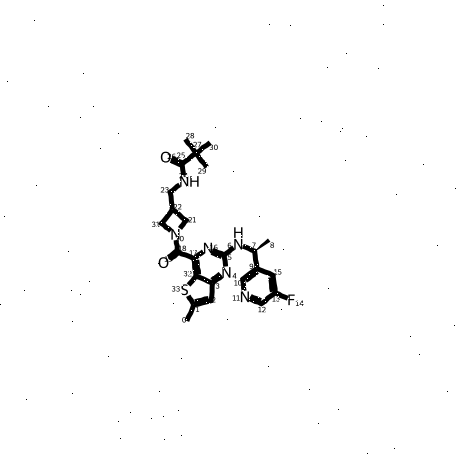 Cc1cc2nc(N[C@@H](C)c3cncc(F)c3)nc(C(=O)N3CC(CNC(=O)C(C)(C)C)C3)c2s1